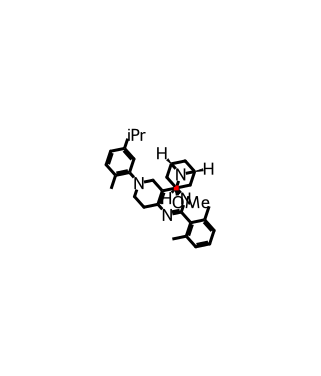 CO[C@@H]1C[C@@H]2C[C@H](C1)N2c1nc(-c2c(C)cccc2C)nc2c1CN(c1cc(C(C)C)ccc1C)CC2